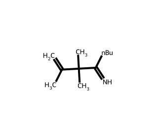 C=C(C)C(C)(C)C(=N)CCCC